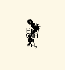 CCCc1ccc(C(=O)NCCNC(=O)c2cn(-c3ccccc3)nc2C(F)(F)F)cn1